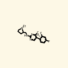 CCN1CCCC1CNc1ncc(-c2ccc(F)cc2F)c(C)n1